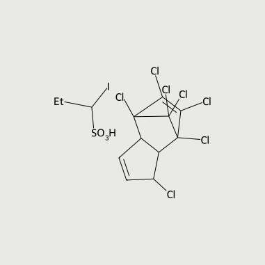 CCC(I)S(=O)(=O)O.ClC1=C(Cl)C2(Cl)C3C(Cl)C=CC3C1(Cl)C2(Cl)Cl